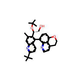 Cc1cc2nc(C(C)(C)C)ccc2c(-c2ccc3c4c(ccnc24)CCO3)c1[C@@H](CO)OC(C)(C)C